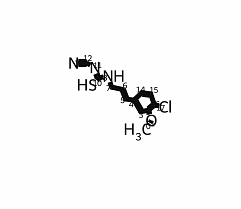 COc1cc(C=CCNC(S)=NC#N)ccc1Cl